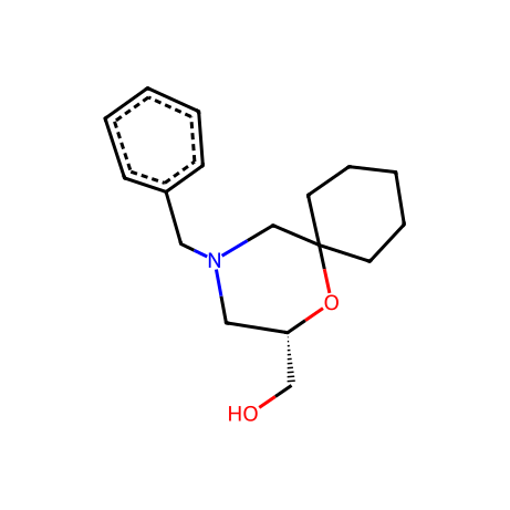 OC[C@@H]1CN(Cc2ccccc2)CC2(CCCCC2)O1